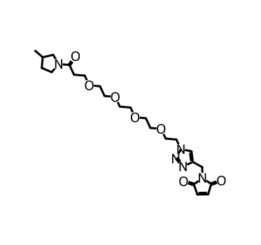 CC1CCN(C(=O)CCOCCOCCOCCOCCn2cc(CN3C(=O)C=CC3=O)nn2)C1